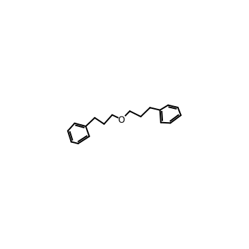 c1ccc(CCCOCCCc2ccccc2)cc1